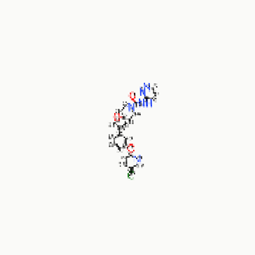 O=C(Nc1cccnn1)N1CCC2(CC1)C[C@@H](c1cccc(Oc3ccc(Cl)cn3)c1)CO2